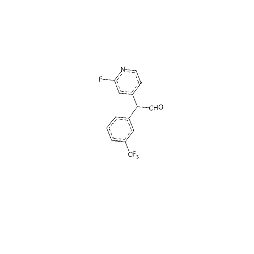 O=CC(c1cccc(C(F)(F)F)c1)c1ccnc(F)c1